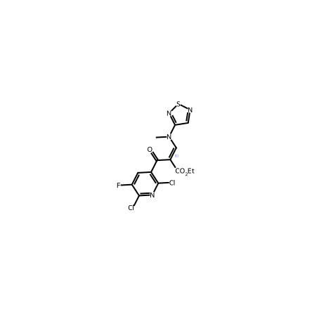 CCOC(=O)/C(=C/N(C)c1cnsn1)C(=O)c1cc(F)c(Cl)nc1Cl